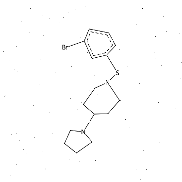 Brc1cccc(SN2CCC(N3CCCC3)CC2)c1